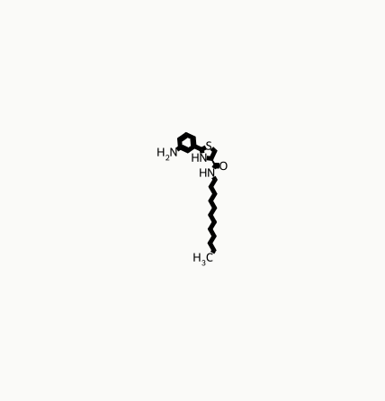 CCCCCCCCCCCCNC(=O)[C@@H]1CSC(c2cccc(N)c2)N1